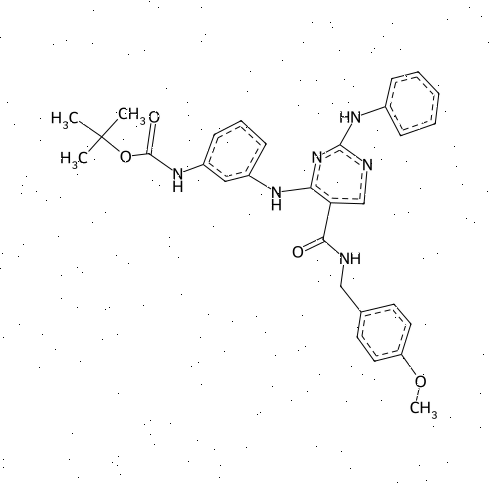 COc1ccc(CNC(=O)c2cnc(Nc3ccccc3)nc2Nc2cccc(NC(=O)OC(C)(C)C)c2)cc1